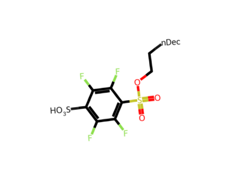 CCCCCCCCCCCCOS(=O)(=O)c1c(F)c(F)c(S(=O)(=O)O)c(F)c1F